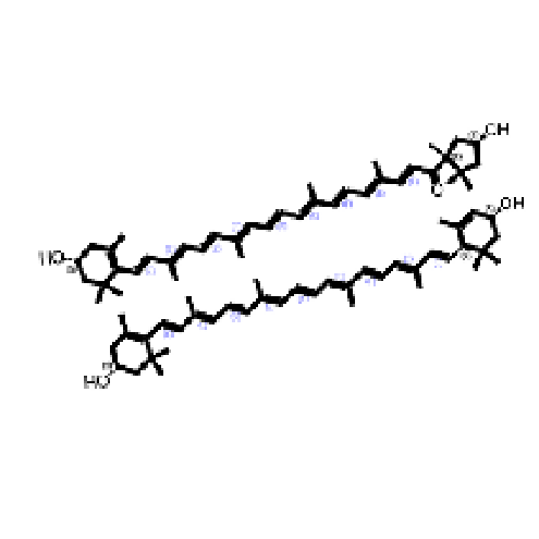 CC1=C(/C=C/C(C)=C/C=C/C(C)=C/C=C/C=C(C)/C=C/C=C(C)/C=C/C(=O)[C@]2(C)C[C@@H](O)CC2(C)C)C(C)(C)C[C@H](O)C1.CC1=C[C@H](O)CC(C)(C)[C@H]1/C=C/C(C)=C/C=C/C(C)=C/C=C/C=C(C)/C=C/C=C(C)/C=C/C1=C(C)C[C@@H](O)CC1(C)C